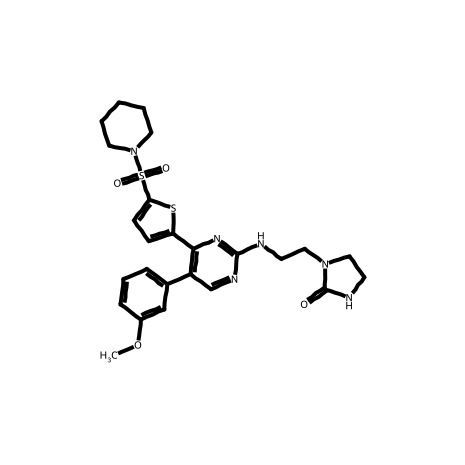 COc1cccc(-c2cnc(NCCN3CCNC3=O)nc2-c2ccc(S(=O)(=O)N3CCCCC3)s2)c1